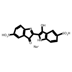 O=C1C(c2[nH]c3ccc(S(=O)(=O)O)cc3c2O)=Nc2ccc(S(=O)(=O)O)cc21.[Na+]